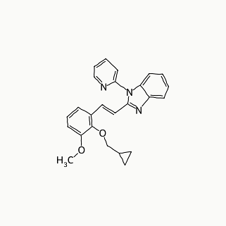 COc1cccc(/C=C/c2nc3ccccc3n2-c2ccccn2)c1OCC1CC1